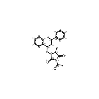 CC(=O)N1C(=O)C(C)C(CC(CC(C)c2ccccc2)c2ccccc2)C1=O